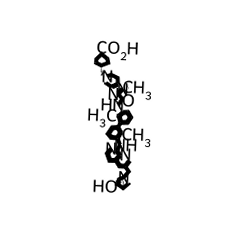 Cc1c(NC(=O)c2nc3c(n2C)CCN(C[C@H]2CC[C@@H](C(=O)O)CC2)C3)cccc1-c1cccc(Nc2nccc3cc(CN4CC[C@@H](O)C4)cnc23)c1C